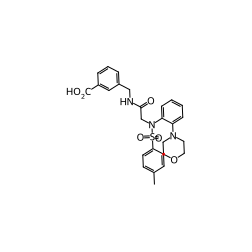 Cc1ccc(S(=O)(=O)N(CC(=O)NCc2cccc(C(=O)O)c2)c2ccccc2N2CCOCC2)cc1